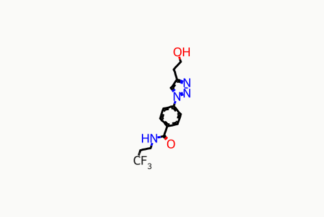 O=C(NCCC(F)(F)F)c1ccc(-n2cc(CCO)nn2)cc1